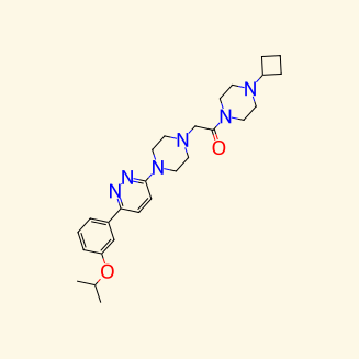 CC(C)Oc1cccc(-c2ccc(N3CCN(CC(=O)N4CCN(C5CCC5)CC4)CC3)nn2)c1